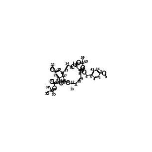 COc1ccc(COC2/C=C\C[C@H](C)OC(=O)c3c(cc(OC)cc3NC(=O)OC(C)(C)C)/C=C/C[C@@H]3OC(C)(C)O[C@H]23)cc1